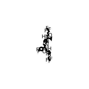 O=C(CCC(F)(F)F)N[C@@H](c1ccn2cc([C@@H](NC(=O)c3ccn(CCC(F)(F)F)n3)C3CCC(F)(F)CC3)nc2n1)C1CC1